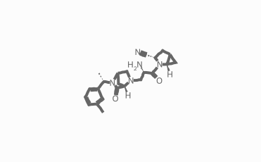 Cc1cccc([C@H](C)N2C(=O)[C@@H]3CC2CN3C[C@H](N)C(=O)N2[C@H](C#N)CC3C[C@@H]32)c1